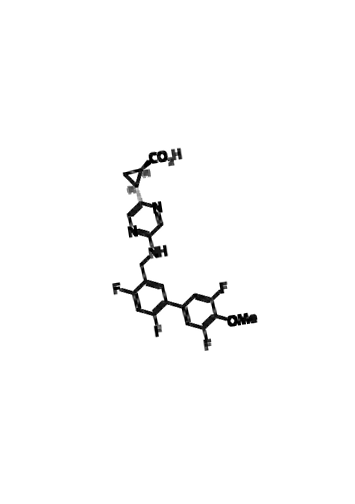 COc1c(F)cc(-c2cc(CNc3cnc([C@@H]4C[C@H]4C(=O)O)cn3)c(F)cc2F)cc1F